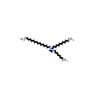 CCCCCCCCCCCCCCCCN1C=CN(CCCCCCCC)C1CCCCCCCCCCC